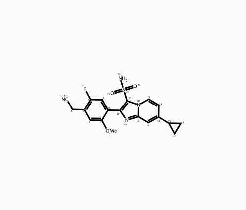 COc1cc(CC#N)c(F)cc1-c1nc2cc(C3CC3)ccn2c1S(N)(=O)=O